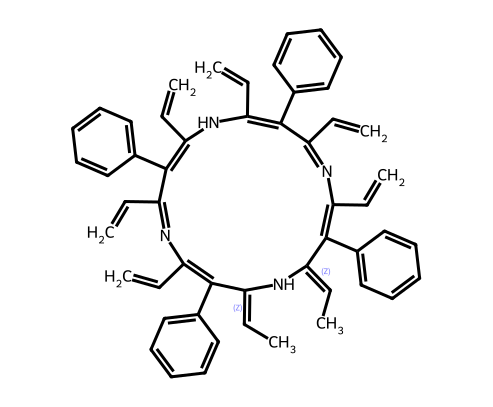 C=Cc1nc(C=C)c(-c2ccccc2)/c(=C/C)[nH]/c(=C\C)c(-c2ccccc2)c(C=C)nc(C=C)c(-c2ccccc2)c(C=C)[nH]c(C=C)c1-c1ccccc1